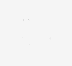 CC(O)C(N)C(=O)O.CS(=O)(=O)O